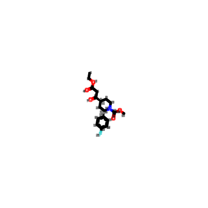 CCOC(=O)CC(=O)[C@H]1CCN(C(=O)OC)[C@H](c2ccc(F)cc2)C1